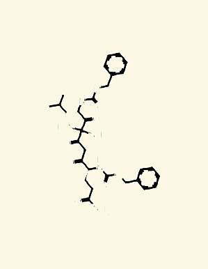 CC(C)C[C@H](NC(=O)OCc1ccccc1)C(=O)C(N)(N)C(=O)CC(=O)[C@H](CCC(N)=O)NC(=O)OCc1ccccc1